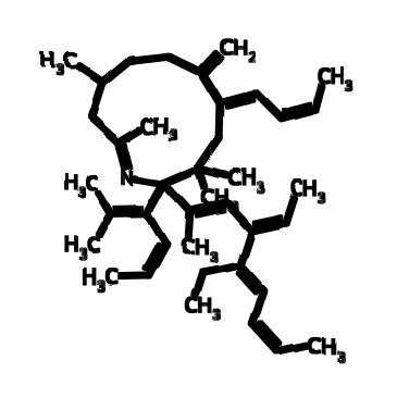 C=C1CCC(C)C/C(C)=N/C(C(/C=C\C)=C(C)C)(/C(C)=C/C(=C\C)C(=C/C=C\C)/CC)C(C)(C)C/C1=C\C=C/C